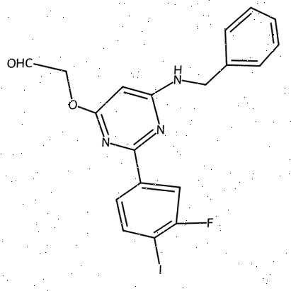 O=CCOc1cc(NCc2ccccc2)nc(-c2ccc(I)c(F)c2)n1